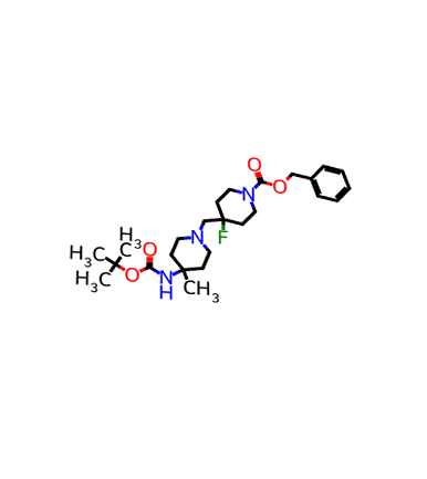 CC1(NC(=O)OC(C)(C)C)CCN(CC2(F)CCN(C(=O)OCc3ccccc3)CC2)CC1